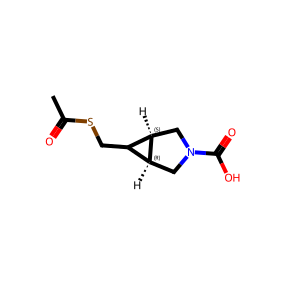 CC(=O)SCC1[C@H]2CN(C(=O)O)C[C@@H]12